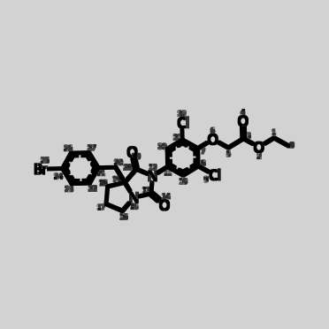 CCOC(=O)COc1c(Cl)cc(N2C(=O)N3CCCC3(Cc3ccc(Br)cc3)C2=O)cc1Cl